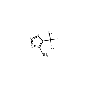 CCC(C)(CC)c1nnoc1N